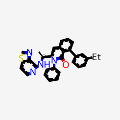 CCc1cccc(-c2cccc3cc([C@H](C)Nc4nccc5scnc45)n(-c4ccccc4)c(=O)c23)c1